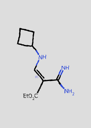 CCOC(=O)/C(=C/NC1CCC1)C(=N)N